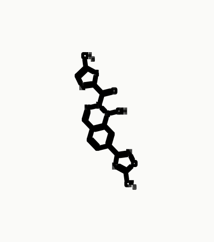 Cc1cnc(C(=O)N2N=Cc3ccc(-c4noc(C(F)(F)F)n4)cc3B2O)s1